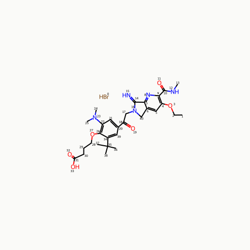 Br.CCOc1cc2c(nc1C(=O)NC)C(=N)N(CC(=O)c1cc(N(C)C)c(OCCCC(=O)O)c(C(C)(C)C)c1)C2